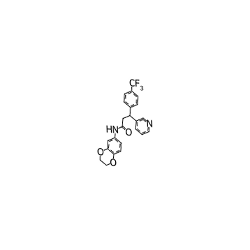 O=C(CC(c1ccc(C(F)(F)F)cc1)c1cccnc1)Nc1ccc2c(c1)OCCO2